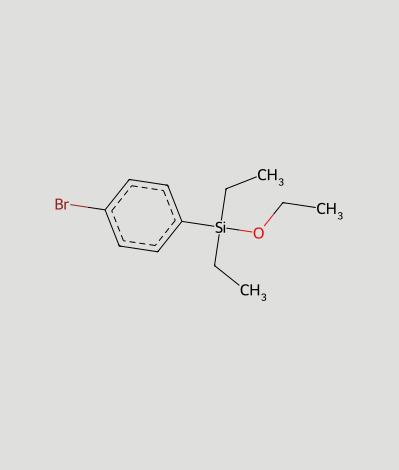 CCO[Si](CC)(CC)c1ccc(Br)cc1